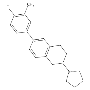 Cc1cc(-c2ccc3c(c2)CCC(N2CCCC2)C3)ccc1F